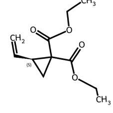 C=C[C@@H]1CC1(C(=O)OCC)C(=O)OCC